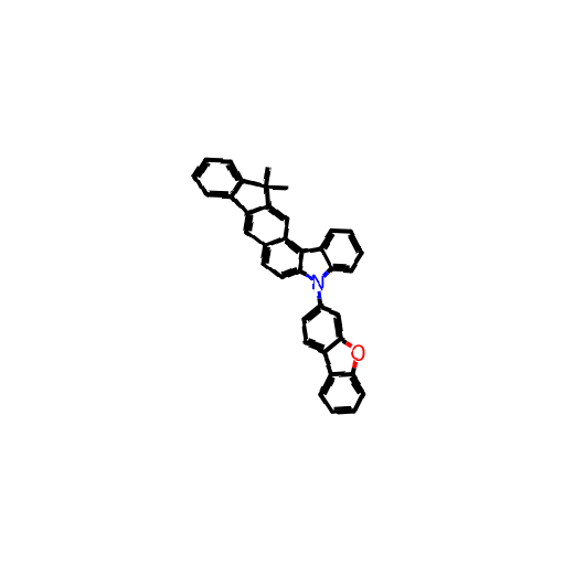 CC1(C)c2ccccc2-c2cc3ccc4c(c3cc21)c1ccccc1n4-c1ccc2c(c1)oc1ccccc12